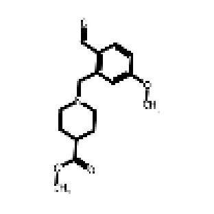 COC(=O)C1CCN(Cc2cc(OC)ccc2C=O)CC1